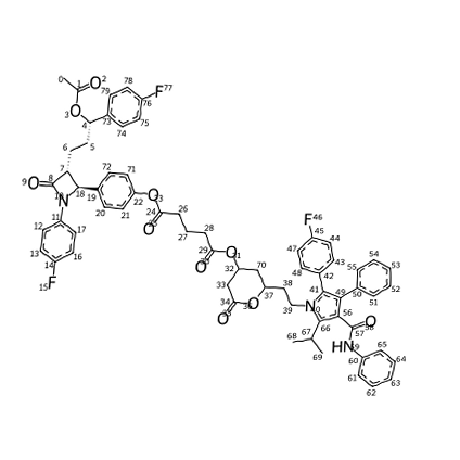 CC(=O)O[C@@H](CC[C@H]1C(=O)N(c2ccc(F)cc2)[C@@H]1c1ccc(OC(=O)CCCC(=O)OC2CC(=O)OC(CCn3c(-c4ccc(F)cc4)c(-c4ccccc4)c(C(=O)Nc4ccccc4)c3C(C)C)C2)cc1)c1ccc(F)cc1